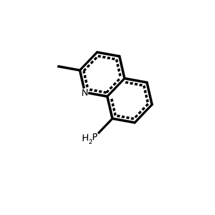 Cc1ccc2cccc(P)c2n1